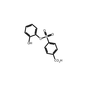 O=C(O)c1ccc(S(=O)(=O)Oc2ccccc2O)cc1